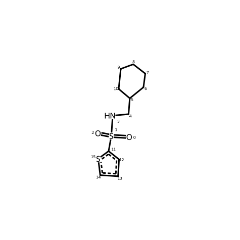 O=S(=O)(NCC1CCCCC1)c1cccs1